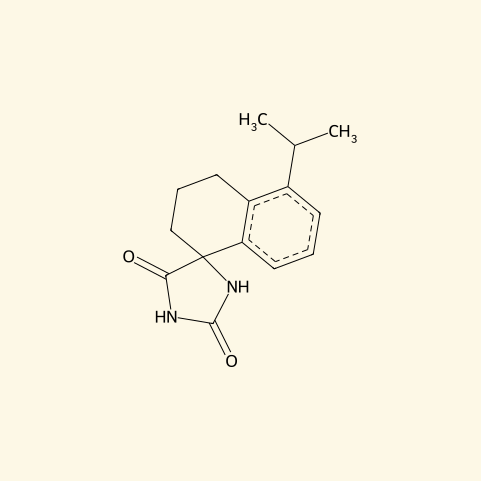 CC(C)c1cccc2c1CCCC21NC(=O)NC1=O